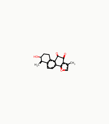 C=C1c2ccc3c(c2CCC1O)C(=O)C(=O)c1c(C)coc1-3